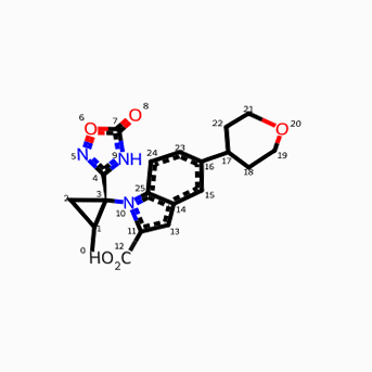 CC1C[C@]1(c1noc(=O)[nH]1)n1c(C(=O)O)cc2cc(C3CCOCC3)ccc21